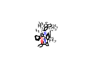 Cc1cc2c3c(c1)N(c1cc4c(cc1C)C(C)(C)CCC4(C)C)c1ccc4c(oc5ccccc54)c1B3n1c3oc4ccccc4c3c3cccc-2c31